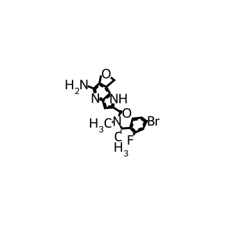 C[C@@H](c1ccc(Br)cc1F)N(C)C(=O)c1cc2nc(N)c3c(c2[nH]1)COC3